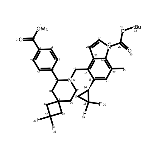 COC(=O)c1ccc(C2CC3(CCN2Cc2c([C@@H]4CC4(F)F)cc(C)c4c2ccn4C(=O)OC(C)(C)C)CC(F)(F)C3)cc1